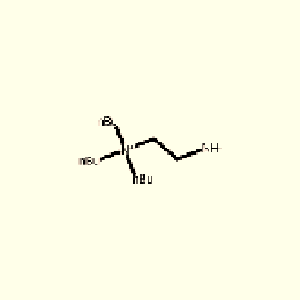 CCCC[N+](CC[NH])(CCCC)CCCC